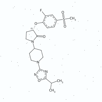 CC(C)c1nc(N2CCC(N3CC[C@H](Oc4ccc(S(C)(=O)=O)cc4F)C3=O)CC2)no1